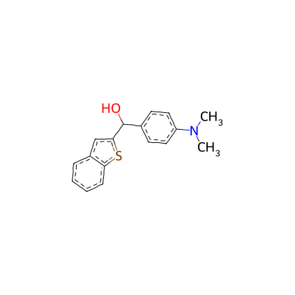 CN(C)c1ccc(C(O)c2cc3ccccc3s2)cc1